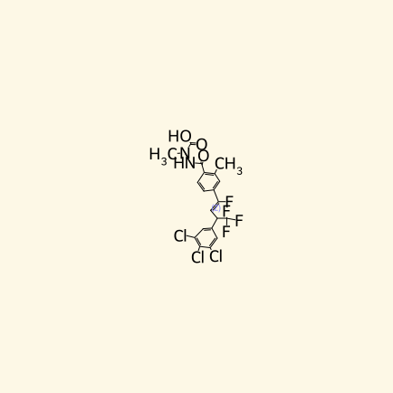 Cc1cc(/C(F)=C/C(c2cc(Cl)c(Cl)c(Cl)c2)C(F)(F)F)ccc1C(=O)NN(C)C(=O)O